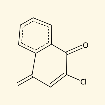 C=C1C=C(Cl)C(=O)c2ccccc21